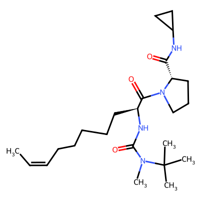 C/C=C\CCCCC[C@H](NC(=O)N(C)C(C)(C)C)C(=O)N1CCC[C@H]1C(=O)NC1CC1